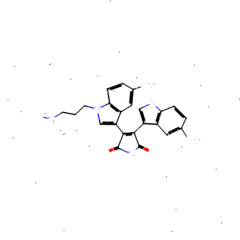 CCNCCCn1cc(C2=C(c3c[nH]c4ccc(SC)cc34)C(=O)NC2=O)c2cc(SC)ccc21